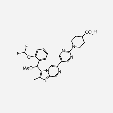 COC(c1ccccc1OC(F)F)c1c(C)nc2cnc(-c3cnc(N4CCC(C(=O)O)CC4)nc3)cn12